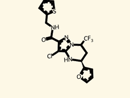 O=C(NCc1cccs1)c1nn2c(c1Cl)N[C@H](c1ccco1)CC2C(F)(F)F